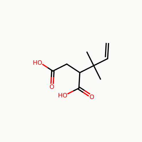 C=CC(C)(C)C(CC(=O)O)C(=O)O